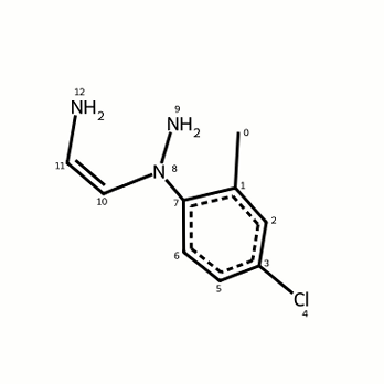 Cc1cc(Cl)ccc1N(N)/C=C\N